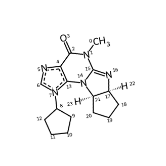 CN1C(=O)c2ncn(C3CCCC3)c2N2C1=N[C@H]1CCC[C@H]12